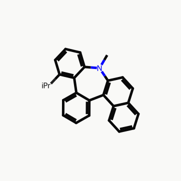 CC(C)c1cccc2c1-c1ccccc1-c1c(ccc3ccccc13)N2C